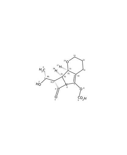 C[C@@H](O)[C@H]1C(=O)N2C(OC(=O)O)=C3CCCO[C@@H]3[C@H]12